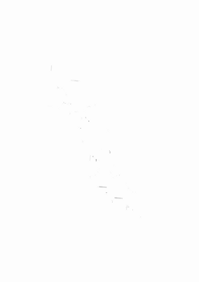 CC1=CCC(S(=O)(=O)N2CCC(C(=O)Nc3ccc4cc(C(=O)O)ccc4c3)CC2)C(C)=C1